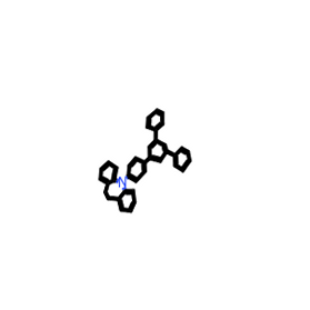 c1ccc(-c2cc(-c3ccccc3)cc(-c3ccc(N4c5ccccc5CCc5ccccc54)cc3)c2)cc1